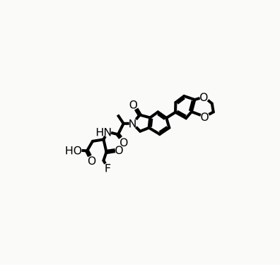 CC(C(=O)NC(CC(=O)O)C(=O)CF)N1Cc2ccc(-c3ccc4c(c3)OCCO4)cc2C1=O